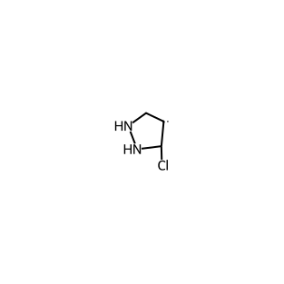 ClC1[CH]CNN1